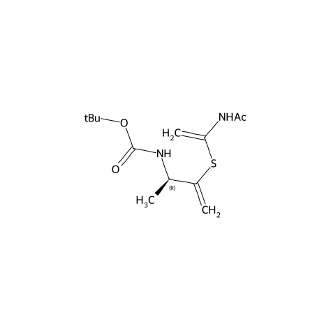 C=C(NC(C)=O)SC(=C)[C@@H](C)NC(=O)OC(C)(C)C